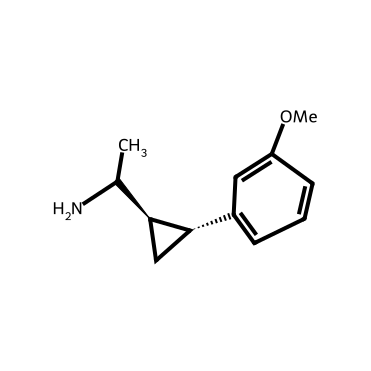 COc1cccc([C@@H]2C[C@H]2C(C)N)c1